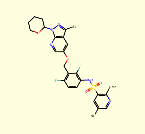 CCc1nn(C2CCCCO2)c2ncc(OCc3c(F)ccc(NS(=O)(=O)c4cc(C#N)cnc4OC)c3F)cc12